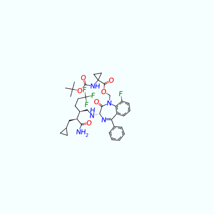 CC(C)(C)OC(=O)NC1(C(=O)OCN2C(=O)[C@@H](NC[C@H](CCC(F)(F)F)[C@H](CC3CC3)C(N)=O)N=C(c3ccccc3)c3cccc(F)c32)CC1